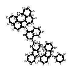 c1ccc(-n2c3ccccc3c3c(-c4nc(-c5ccc(-n6c7ccc8cccc9oc%10cccc%11ccc6c(c%11%10)c7c89)c6ccccc56)nc5c4sc4ccccc45)cccc32)cc1